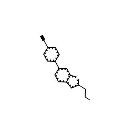 N#Cc1ccc(-c2ccc3cc(CCO)oc3c2)cc1